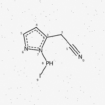 N#CCc1ccnn1PI